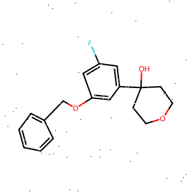 OC1(c2cc(F)cc(OCc3ccccc3)c2)CCOCC1